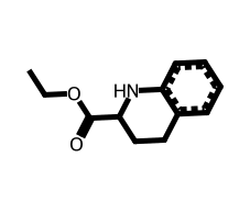 CCOC(=O)C1CCc2ccccc2N1